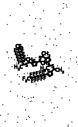 C=C(SC(=C)c1ccc(C(=C)SC(=C)C(F)(F)C(F)(F)C(F)(F)C(F)(F)C(F)(F)C(F)(F)F)s1)c1ccc(C(=C)SC(=C)c2ccc(C(F)(F)C(F)(F)C(F)(F)C(F)(F)C(F)(F)C(F)(F)F)s2)s1